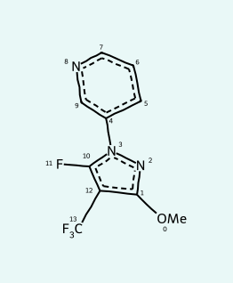 COc1nn(-c2cccnc2)c(F)c1C(F)(F)F